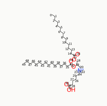 CCCCCCCCCCCCCCCC(=O)OCC(C[N+](C)(C)CCCCCC(=O)O)OC(=O)CCCCCCCCCCCCCCC